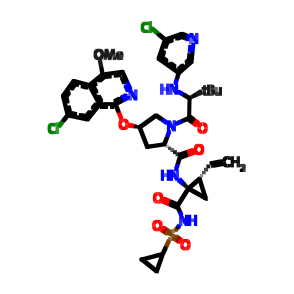 C=C[C@@H]1C[C@]1(NC(=O)[C@@H]1C[C@@H](Oc2ncc(OC)c3ccc(Cl)cc23)CN1C(=O)[C@@H](Nc1cncc(Cl)c1)C(C)(C)C)C(=O)NS(=O)(=O)C1CC1